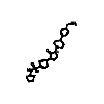 NCc1ccc(C2CCN([C@H]3CCN(c4ccc(S(=O)(=O)Nc5nccs5)cc4)C3=O)CC2)cc1